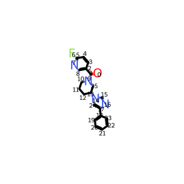 O=C(c1ccc(F)nc1)N1CCCC(n2cnc(-c3ccccc3)c2)C1